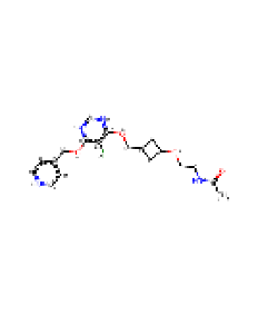 CC(=O)NCCOC1CC(COc2ncnc(OCc3ccncc3)c2Cl)C1